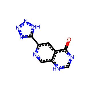 O=c1nc[nH]c2cnc(-c3nnn[nH]3)cc12